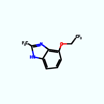 FC(F)(F)COc1cccc2[nH]c(C(F)(F)F)nc12